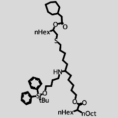 CCCCCCCCC(CCCCCC)C(=O)OCCCCCC(CCCCCSCC(CCCCCC)OC(=O)CC1CCCCCC1)NCCCCO[Si](c1ccccc1)(c1ccccc1)C(C)(C)C